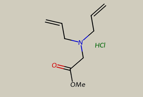 C=CCN(CC=C)CC(=O)OC.Cl